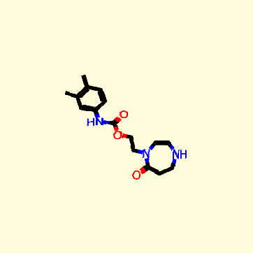 Cc1ccc(NC(=O)OCCN2CCNCCC2=O)cc1C